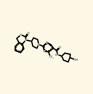 O=C(NC1CCC(O)CC1)c1cnc(N2CCC(N3C(=O)OCc4ccccc43)CC2)nc1C(F)(F)F